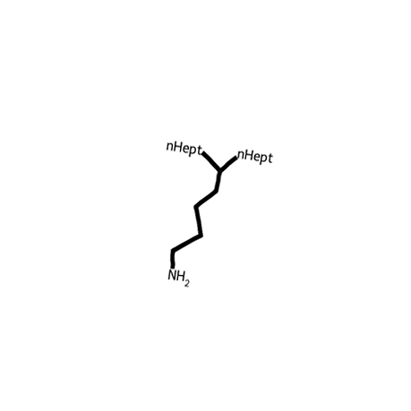 CCCCCCCC(CCCCN)CCCCCCC